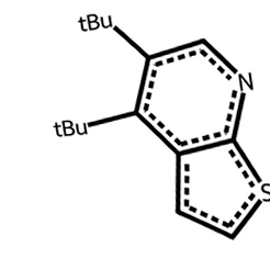 CC(C)(C)c1cnc2sccc2c1C(C)(C)C